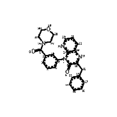 O=C(c1cccc(-n2c(=O)c(Cc3ccccc3)nc3cccnc32)c1)N1CCOCC1